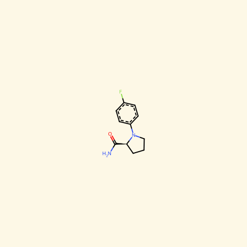 NC(=O)[C@@H]1CCCN1c1ccc(F)cc1